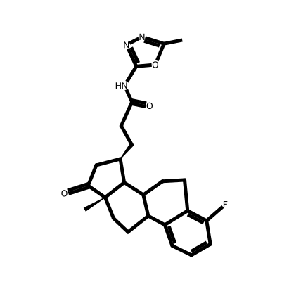 Cc1nnc(NC(=O)CC[C@@H]2CC(=O)[C@@]3(C)CCC4c5cccc(F)c5CCC4C23)o1